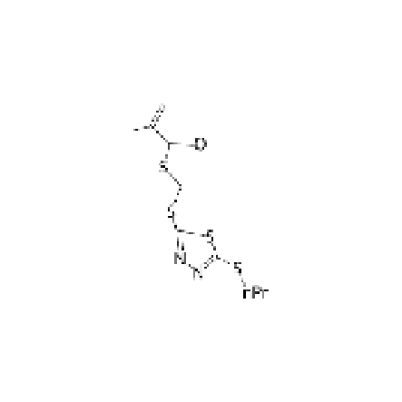 C=C(C)C(=O)SCSc1nnc(SCCC)s1